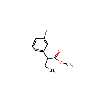 CCC(C(=O)OC)c1cccc(Br)c1